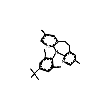 Cc1cnc2c(c1)CCc1cc(C)cnc1N2c1c(C)cc(C(C)(C)C)cc1C